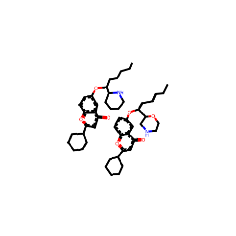 CCCCCC(Oc1ccc2oc(C3CCCCC3)cc(=O)c2c1)C1CCCCN1.CCCCCC(Oc1ccc2oc(C3CCCCC3)cc(=O)c2c1)C1CNCCO1